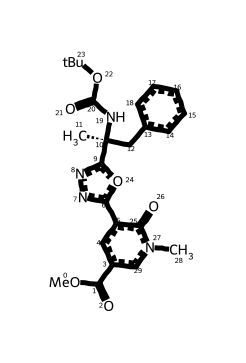 COC(=O)c1cc(-c2nnc([C@](C)(Cc3ccccc3)NC(=O)OC(C)(C)C)o2)c(=O)n(C)c1